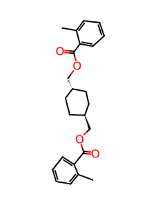 Cc1ccccc1C(=O)OC[C@H]1CC[C@H](COC(=O)c2ccccc2C)CC1